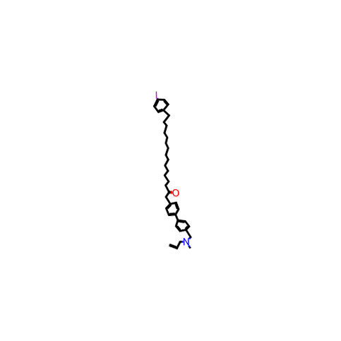 C=CCN(C)Cc1ccc(-c2ccc(CC(=O)CCCCCCCCCCCCCCc3ccc(I)cc3)cc2)cc1